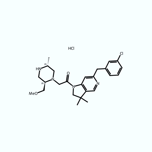 COC[C@H]1CN[C@H](C)CN1CC(=O)N1CC(C)(C)c2cnc(Cc3cccc(Cl)c3)cc21.Cl